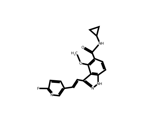 COc1c(C(=O)NC2CC2)ccc2[nH]nc(C=Cc3ccc(F)nc3)c12